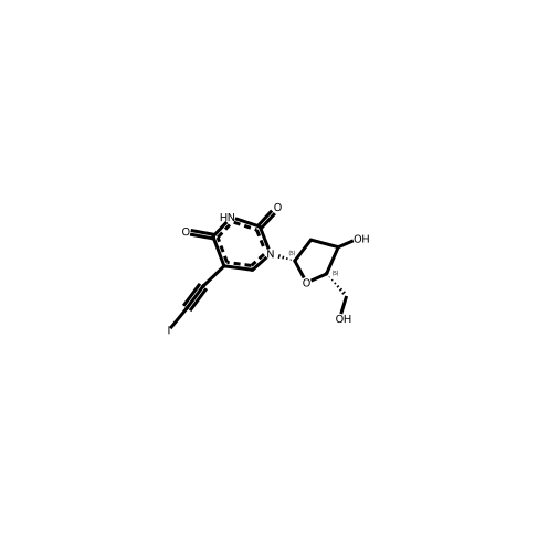 O=c1[nH]c(=O)n([C@@H]2CC(O)[C@H](CO)O2)cc1C#CI